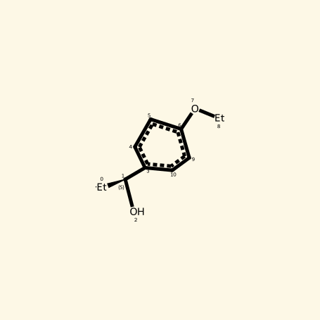 C[CH][C@H](O)c1ccc(OCC)cc1